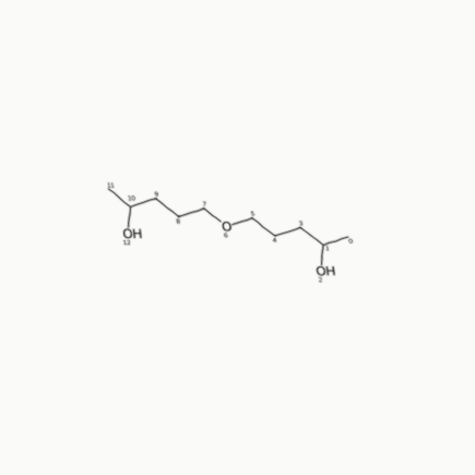 CC(O)CCCOCCCC(C)O